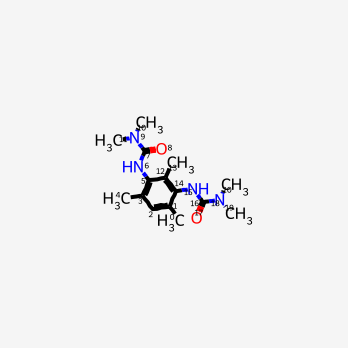 Cc1cc(C)c(NC(=O)N(C)C)c(C)c1NC(=O)N(C)C